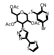 CC(=O)OCC1O[C@H](Sc2cc(Br)cnc2C#N)C(OC(C)=O)C(n2cc(-c3nccs3)nn2)[C@H]1OC(C)=O